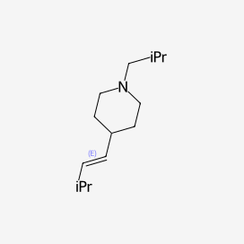 CC(C)/C=C/C1CCN(CC(C)C)CC1